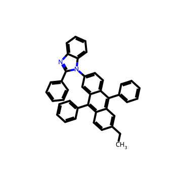 CCc1ccc2c(-c3ccccc3)c3cc(-n4c(-c5ccccc5)nc5ccccc54)ccc3c(-c3ccccc3)c2c1